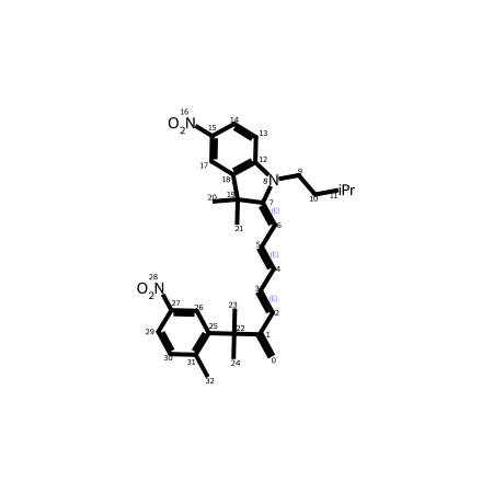 C=C(/C=C/C=C/C=C1/N(CCC(C)C)c2ccc([N+](=O)[O-])cc2C1(C)C)C(C)(C)c1cc([N+](=O)[O-])ccc1C